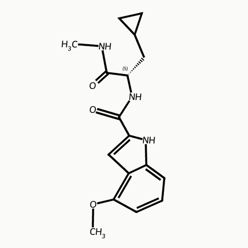 CNC(=O)[C@H](CC1CC1)NC(=O)c1cc2c(OC)cccc2[nH]1